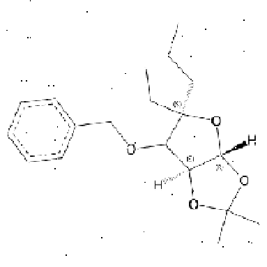 CCC[C@]1(CC)O[C@@H]2OC(C)(C)O[C@H]2C1OCc1ccccc1